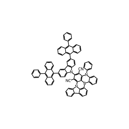 N#Cc1c2c3c(c(C#N)c1-n1c4ccc(-c5c6ccccc6c(-c6ccccc6)c6ccccc56)cc4c4cc(-c5c6ccccc6c(-c6ccccc6)c6ccccc56)ccc41)-n1c4ccccc4c4cccc(c41)B3c1ccccc1N2c1ccccc1